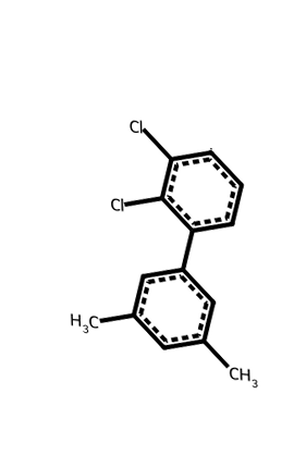 Cc1cc(C)cc(-c2cc[c]c(Cl)c2Cl)c1